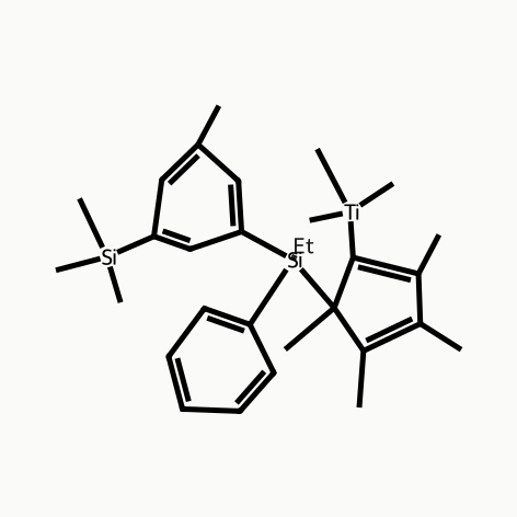 CC[Si](c1ccccc1)(c1cc(C)cc([Si](C)(C)C)c1)C1(C)C(C)=C(C)C(C)=[C]1[Ti]([CH3])([CH3])[CH3]